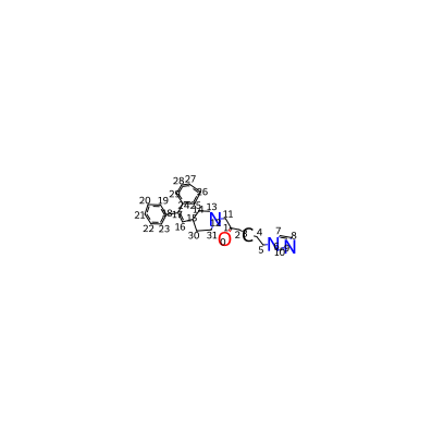 O=C(CCCCn1ccnc1)CN1CCC(C=C(c2ccccc2)c2ccccc2)CC1